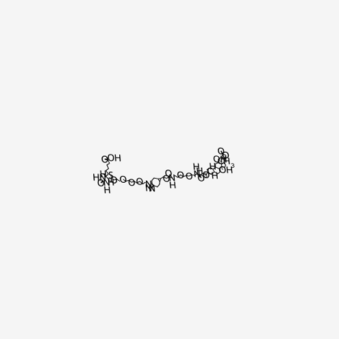 C[C@]12CC[C@H](OCC(=O)NCCOCCOCCNC(=O)OCC3C4CCc5nnn(CCOCCOCCOCCO[C@@H]6SC(CCCCC(=O)O)[C@H]7NC(=O)N[C@@H]67)c5CCC43)C[C@H]1CCC1[C@@H]2C[C@@H](O)[C@]2(C)[C@@H](C3=CC(=O)OC3)CC[C@]12O